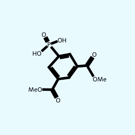 COC(=O)c1cc(C(=O)OC)cc(P(=O)(O)O)c1